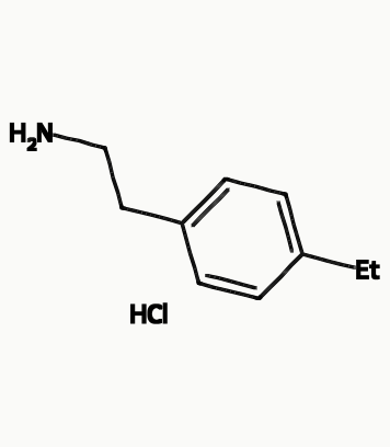 CCc1ccc(CCN)cc1.Cl